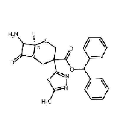 Cc1nnc(C2(C(=O)OC(c3ccccc3)c3ccccc3)CS[C@@H]3C(N)C(=O)N3C2)s1